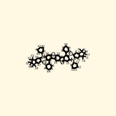 CC1(C)c2ccc(N(c3ccccc3)c3cc4oc5cc6c(cc5c4c4c3oc3ccccc34)oc3cc(N(c4ccccc4)c4ccc5c(c4)C(C)(C)C(C)(C)C5(C)C)c4oc5ccccc5c4c36)cc2C(C)(C)C1(C)C